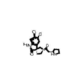 O=C(C[C@H]1CCCN1)N1CC[C@]2(C1)C(=O)Nc1cc(Cl)c(Cl)cc12